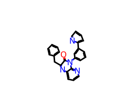 O=c1c(Cc2ccccc2)nc2cccnc2n1-c1cccc(-c2ccccn2)c1